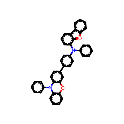 c1ccc(N2c3ccccc3Oc3cc(-c4ccc(N(c5ccccc5)c5cccc6c5oc5ccccc56)cc4)ccc32)cc1